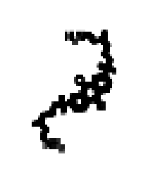 CC(CCN)CCCC(C)(C)c1ccc2c(c1)C(=O)c1cc(C(C)(C)CCCC(C)CCN)ccc1C2=O